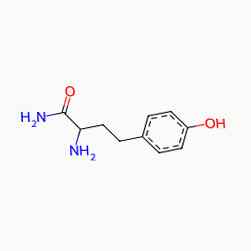 NC(=O)C(N)CCc1ccc(O)cc1